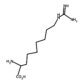 N=C(N)NCCCCCCCC(N)C(=O)O